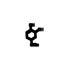 COC1CC=C(O)C(O)C1